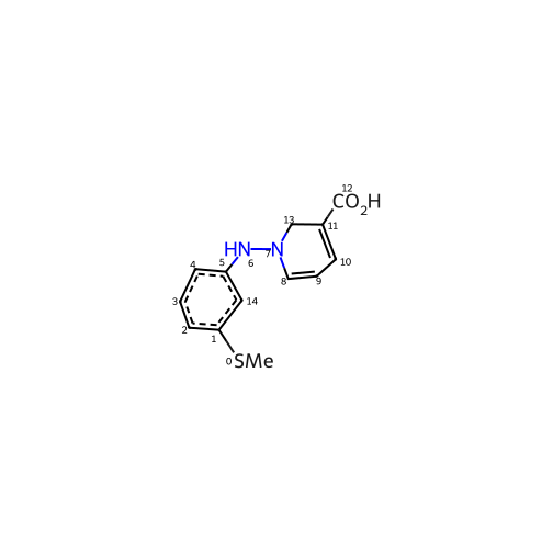 CSc1cccc(NN2C=CC=C(C(=O)O)C2)c1